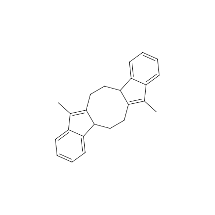 CC1=C2CCC3C(=C(C)c4ccccc43)CCC2c2ccccc21